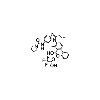 CCCc1nc2ccc(NC(=O)N3CCCC3)cc2n1-c1ccc(-c2ccccc2)c(C(=O)O)c1C.O=C(O)C(F)(F)F